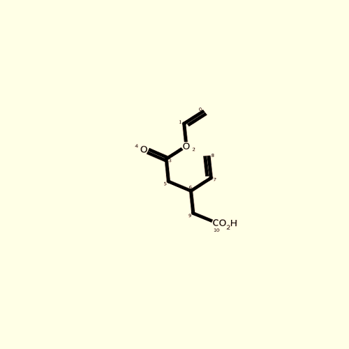 C=COC(=O)CC(C=C)CC(=O)O